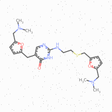 CN(C)Cc1ccc(CSCCNc2ncc(Cc3ccc(CN(C)C)o3)c(=O)[nH]2)o1